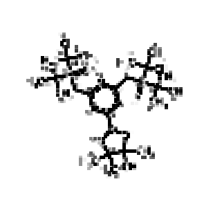 CC1(C)OB(c2cc(CP(=S)(C(C)(C)C)C(C)(C)C)nc(CP(=S)(C(C)(C)C)C(C)(C)C)c2)OC1(C)C